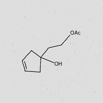 CC(=O)OCCC1(O)CC=CC1